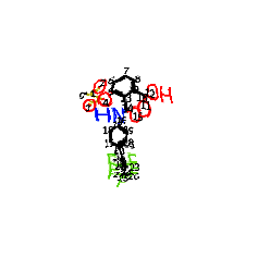 CS(=O)(=O)Oc1cccc(C(=O)O)c1C(=O)Nc1ccc(C(F)(F)C(F)(F)F)cc1